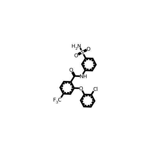 NS(=O)(=O)c1cccc(NC(=O)c2ccc(C(F)(F)F)cc2Oc2ccccc2Cl)c1